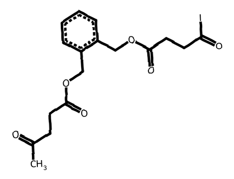 CC(=O)CCC(=O)OCc1ccccc1COC(=O)CCC(=O)I